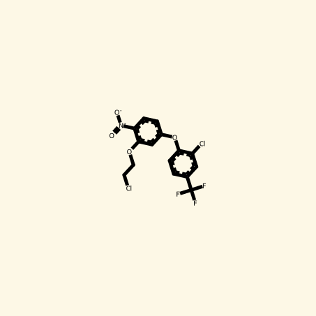 O=[N+]([O-])c1ccc(Oc2ccc(C(F)(F)F)cc2Cl)cc1OCCCl